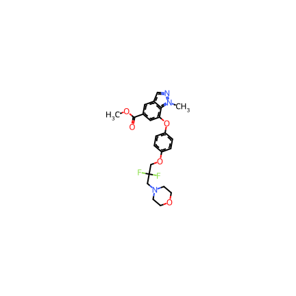 COC(=O)c1cc(Oc2ccc(OCC(F)(F)CN3CCOCC3)cc2)c2c(cnn2C)c1